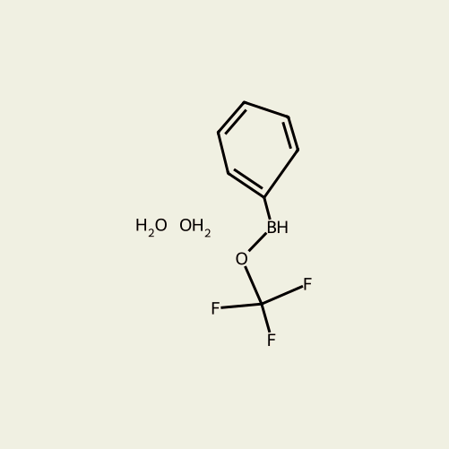 FC(F)(F)OBc1ccccc1.O.O